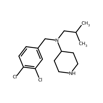 CC(C)CN(Cc1ccc(Cl)c(Cl)c1)C1CCNCC1